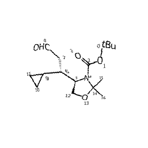 CC(C)(C)OC(=O)N1[C@H]([C@@H](CC=O)C2CC2)COC1(C)C